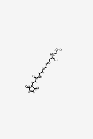 O=CCNC(=O)COCCOCCNC(=O)CCN1C(=O)C=CC1=O